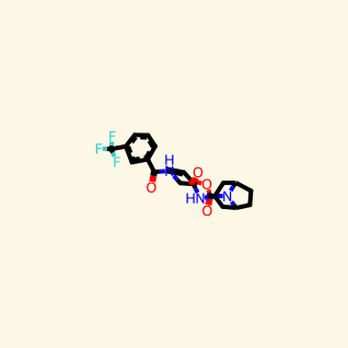 C=CCOC(=O)N1C2CCC1CC(NC(=O)CNC(=O)c1cccc(C(F)(F)F)c1)C2